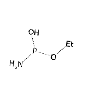 CCOP(N)O